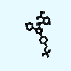 O=C(O)c1ccncc1Nc1nn(C2CCN(CCC(F)(F)F)CC2)cc1-c1ccncc1